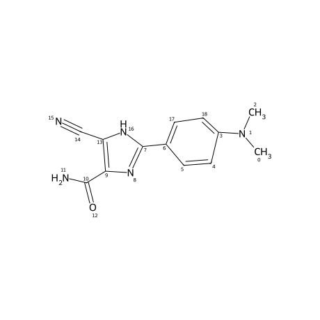 CN(C)c1ccc(-c2nc(C(N)=O)c(C#N)[nH]2)cc1